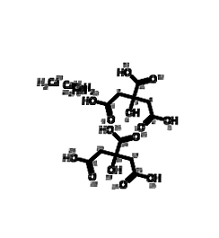 Cl.O=C(O)CC(O)(CC(=O)O)C(=O)O.O=C(O)CC(O)(CC(=O)O)C(=O)O.[CaH2].[CaH2].[CaH2]